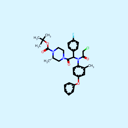 Cc1cc(Oc2ccccc2)ccc1N(C(=O)CCl)C(C(=O)N1CCN(C(=O)OC(C)(C)C)[C@@H](C)C1)c1ccc(F)cc1